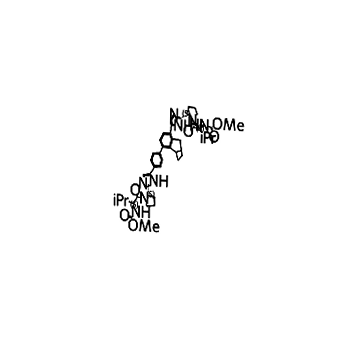 COC(=O)N[C@H](C(=O)N1CCC[C@H]1c1ncc(-c2ccc(-c3ccc(-c4cnc([C@@H]5CCCN5C(=O)[C@@H](NC(=O)OC)C(C)C)[nH]4)c4c3C3CCC3C4)cc2)[nH]1)C(C)C